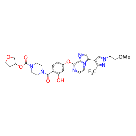 COCCn1cc(-c2cnc3c(Oc4ccc(C(=O)N5CCN(C(=O)OC6CCOC6)CC5)c(O)c4)nccn23)c(C(F)(F)F)n1